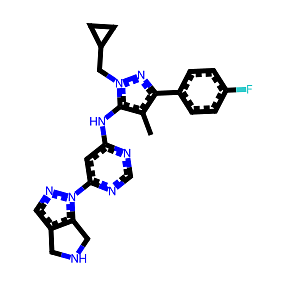 Cc1c(-c2ccc(F)cc2)nn(CC2CC2)c1Nc1cc(-n2ncc3c2CNC3)ncn1